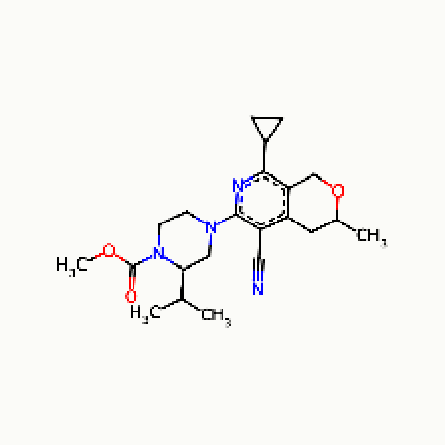 COC(=O)N1CCN(c2nc(C3CC3)c3c(c2C#N)CC(C)OC3)C[C@H]1C(C)C